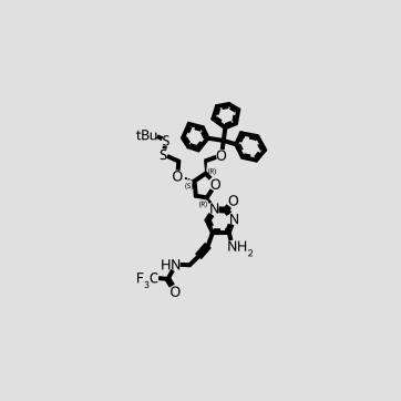 CC(C)(C)SSCO[C@H]1C[C@H](n2cc(C#CCNC(=O)C(F)(F)F)c(N)nc2=O)O[C@@H]1COC(c1ccccc1)(c1ccccc1)c1ccccc1